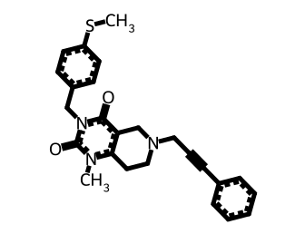 CSc1ccc(Cn2c(=O)c3c(n(C)c2=O)CCN(CC#Cc2ccccc2)C3)cc1